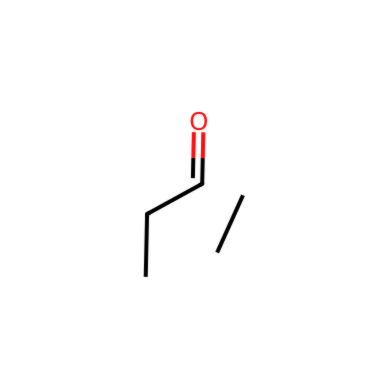 CC.CCC=O